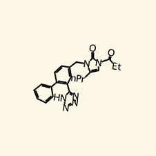 CCCc1cn(C(=O)CC)c(=O)n1Cc1ccc(-c2ccccc2)c(-c2nnn[nH]2)c1